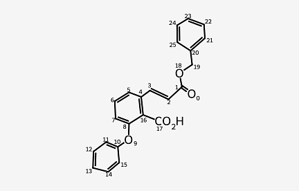 O=C(C=Cc1cccc(Oc2ccccc2)c1C(=O)O)OCc1ccccc1